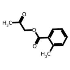 CC(=O)COC(=O)c1ccccc1C